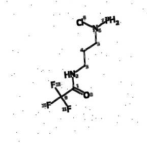 O=C(NCCCN(P)Cl)C(F)(F)F